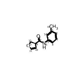 Cc1cccc(NC(=O)C2C=COC2)c1